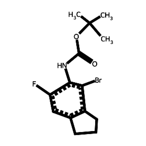 CC(C)(C)OC(=O)Nc1c(F)cc2c(c1Br)CCC2